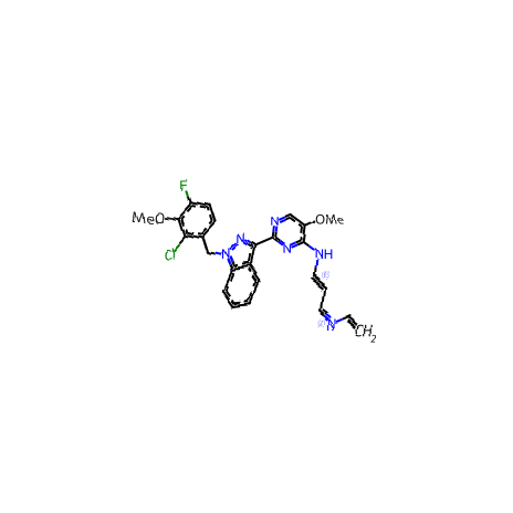 C=C/N=C\C=C\Nc1nc(-c2nn(Cc3ccc(F)c(OC)c3Cl)c3ccccc23)ncc1OC